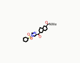 CNC(=O)c1ccc2cc(C(=O)c3cn(S(=O)(=O)c4ccccc4)cn3)ccc2c1